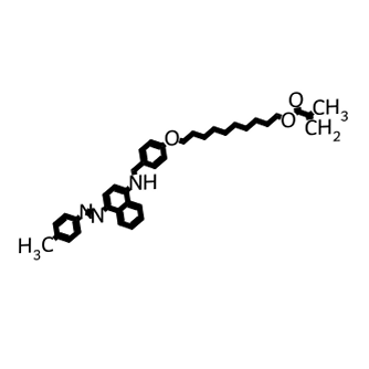 C=C(C)C(=O)OCCCCCCCCCCOc1ccc(CNc2ccc(/N=N/c3ccc(C)cc3)c3ccccc23)cc1